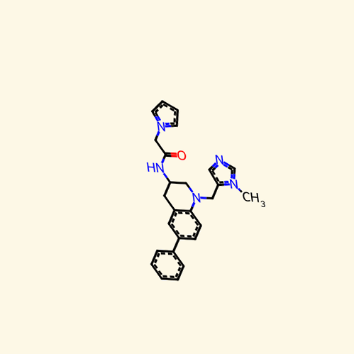 Cn1cncc1CN1CC(NC(=O)Cn2cccc2)Cc2cc(-c3ccccc3)ccc21